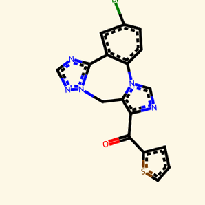 O=C(c1cccs1)c1ncn2c1Cn1ncnc1-c1cc(Br)ccc1-2